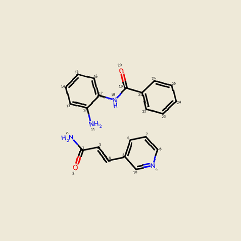 NC(=O)C=Cc1cccnc1.Nc1ccccc1NC(=O)c1ccccc1